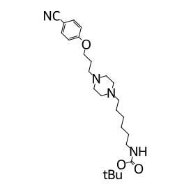 CC(C)(C)OC(=O)NCCCCCCN1CCN(CCCOc2ccc(C#N)cc2)CC1